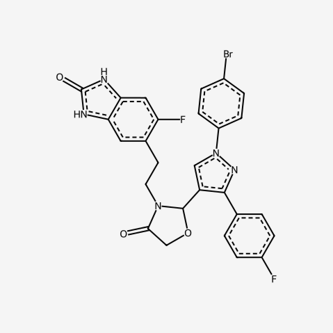 O=C1COC(c2cn(-c3ccc(Br)cc3)nc2-c2ccc(F)cc2)N1CCc1cc2[nH]c(=O)[nH]c2cc1F